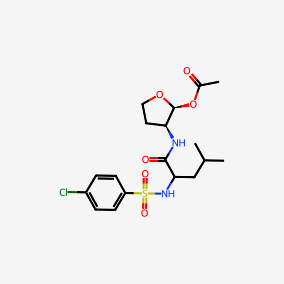 CC(=O)O[C@@H]1OCC[C@@H]1NC(=O)C(CC(C)C)NS(=O)(=O)c1ccc(Cl)cc1